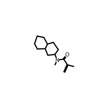 C=C(C)C(=O)N(C)C1CCC2CCCCC2C1